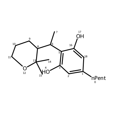 CCCCCc1cc(O)c(C(C)C2CCCOC2(C)C)c(O)c1